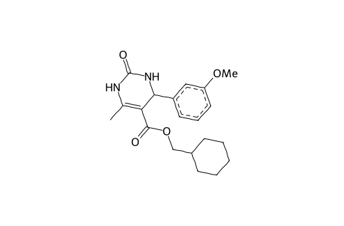 COc1cccc(C2NC(=O)NC(C)=C2C(=O)OCC2CCCCC2)c1